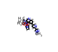 CCn1c(=O)n(C2CC3CCC(C2)N3C(=O)OC(C)(C)C)c2c3cc(-c4ccc(-c5cnn(C)c5)nc4)ccc3ncc21